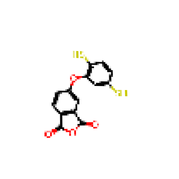 O=C1OC(=O)c2cc(Oc3cc(S)ccc3S)ccc21